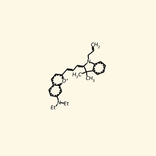 C=CCN1C(=CC=Cc2ccc3ccc(N(CC)CC)cc3[o+]2)C(C)(C)c2ccccc21